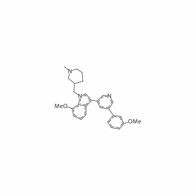 COc1cccc(-c2cncc(-c3cn(CC4CCCN(C)C4)c4c(OC)cccc34)c2)c1